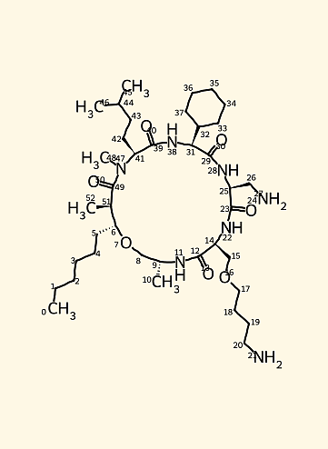 CCCCCC[C@H]1OC[C@@H](C)NC(=O)[C@H](COCCCCN)NC(=O)[C@H](CN)NC(=O)[C@H](C2CCCCC2)NC(=O)[C@H](CCC(C)C)N(C)C(=O)[C@@H]1C